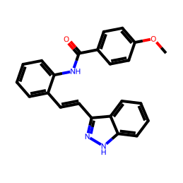 COc1ccc(C(=O)Nc2ccccc2C=Cc2n[nH]c3ccccc23)cc1